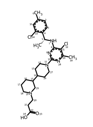 Cc1ccc([C@@H](C)Nc2nc(N3CCC(C4CCCN(CCC(=O)O)C4)CC3)nc(C)c2Cl)c(Cl)c1